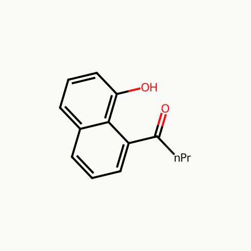 CCCC(=O)c1cccc2cccc(O)c12